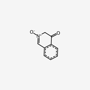 O=C1C[N+]([O-])=Cc2ccccc21